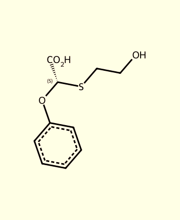 O=C(O)[C@@H](Oc1ccccc1)SCCO